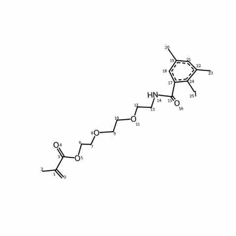 C=C(C)C(=O)OCCOCCOCCNC(=O)c1cc(C)cc(C)c1I